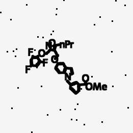 CCCc1onc(COc2c(F)cc(F)cc2F)c1COc1ccc2c(ccn2Cc2cccc(C(=O)OC)c2)c1